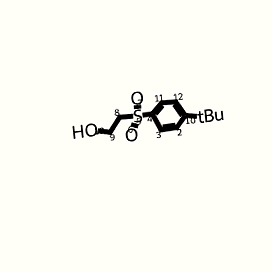 CC(C)(C)c1ccc(S(=O)(=O)CCO)cc1